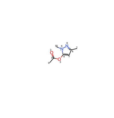 CC(=O)Oc1cc(C)nn1C